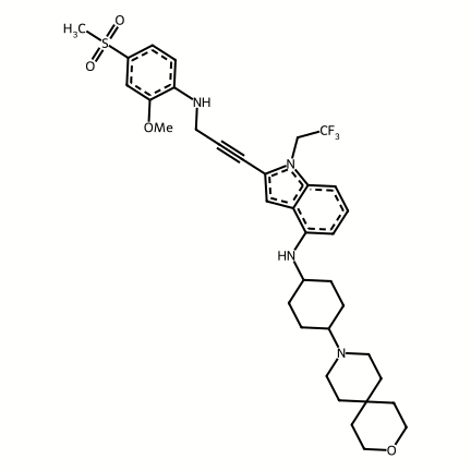 COc1cc(S(C)(=O)=O)ccc1NCC#Cc1cc2c(NC3CCC(N4CCC5(CCOCC5)CC4)CC3)cccc2n1CC(F)(F)F